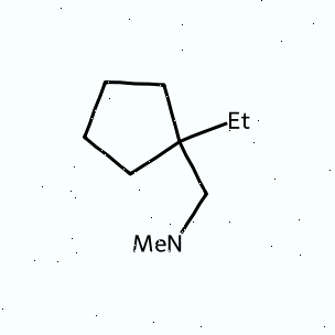 CCC1(CNC)CCCC1